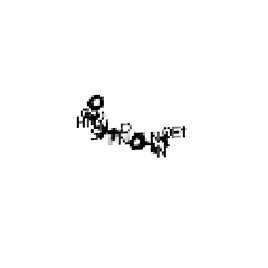 CCOc1cncc(-c2ccc(NC(=O)C(C)(C)c3csc(NS(=O)(=O)C4CCCC4)n3)cc2)n1